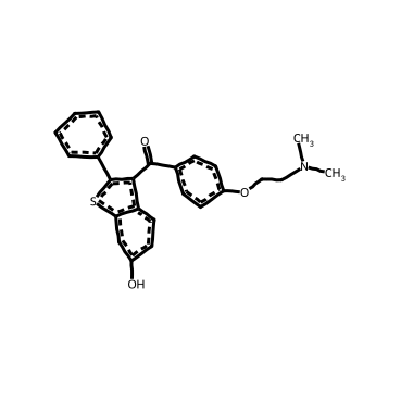 CN(C)CCOc1ccc(C(=O)c2c(-c3ccccc3)sc3cc(O)ccc23)cc1